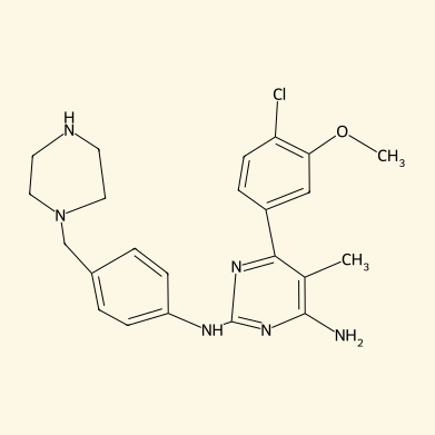 COc1cc(-c2nc(Nc3ccc(CN4CCNCC4)cc3)nc(N)c2C)ccc1Cl